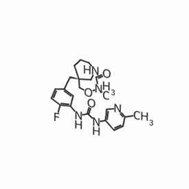 Cc1ccc(NC(=O)Nc2cc(C[C@@]3(CON(C)C=O)CCCNC3)ccc2F)cn1